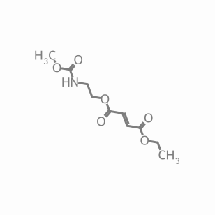 CCOC(=O)/C=C/C(=O)OCCNC(=O)OC